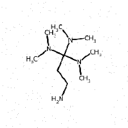 CN(C)C(CCN)(N(C)C)N(C)C